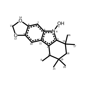 CC1c2c(n(O)c3cc4c(cc23)OCO4)C(C)(C)CC1(C)C